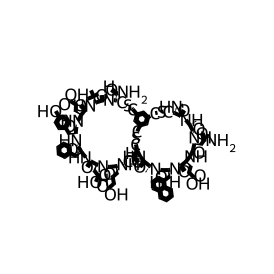 CN[C@H]1CSCc2cc3cc(c2)CSC[C@@H](NC(=O)[C@@H](C)NC(=O)[C@H](Cc2cccc4ccccc24)NC(=O)[C@H](CCC(=O)O)NC(=O)[C@H](CC(N)=O)NC(=O)[C@@H](C)NC1=O)C(=O)CN[C@@H](CCCC(=O)O)C(=O)N[C@@H](CC(=O)O)C(=O)N[C@@H](Cc1ccccc1)C(=O)N[C@@H](Cc1ccc(O)cc1)C(=O)N[C@@H](CCC(=O)O)C(=O)N[C@@H](C(C)(C)C)C(=O)N[C@H](C(N)=O)CSC3